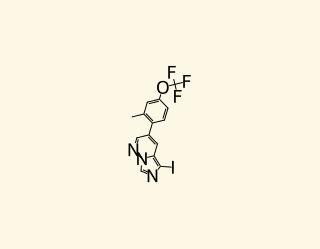 Cc1cc(OC(F)(F)F)ccc1-c1cnn2cnc(I)c2c1